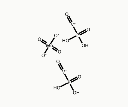 [O]=[Mo](=[O])([O-])[O-].[O]=[V+][P](=O)(O)O.[O]=[V+][P](=O)(O)O